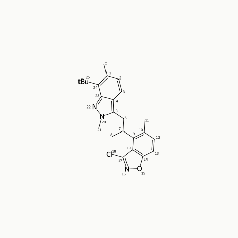 Cc1ccc2c(CC(C)c3c(C)ccc4onc(Cl)c34)n(C)nc2c1C(C)(C)C